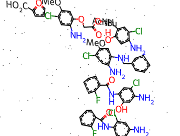 CC(=O)Nc1cc(Cl)c(N)cc1O.COc1cc(NCc2ccccc2)c(N)cc1Cl.COc1cc(OCC(=O)OC(C)(C)C)c(N)cc1Cl.Nc1cc(O)c(NC(=O)c2ccccc2F)cc1Cl.Nc1ccc(NC(=O)c2ccccc2F)c(Cl)c1.O=C(O)c1ccco1